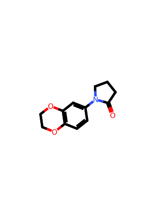 O=C1CCCN1c1ccc2c(c1)OCCO2